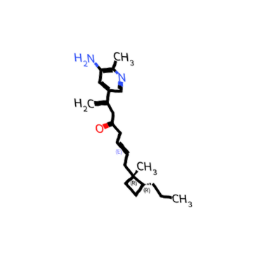 C=C(CC(=O)C/C=C/C[C@@]1(C)CC[C@H]1CCC)c1cnc(C)c(N)c1